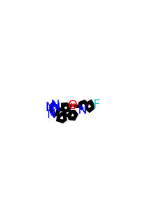 Fc1ccc2nc(COc3ccc(-c4ccnc5ncnn45)c(C4(c5ccccc5)CCCCC4)c3)ccc2c1